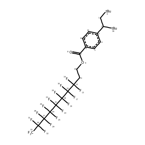 CC(C)(C)CC(c1ccc(C(=O)OCCC(F)(F)C(F)(F)C(F)(F)C(F)(F)C(F)(F)C(F)(F)C(F)(F)C(F)(F)F)cc1)C(C)(C)C